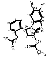 CC(=O)O[C@H]1C[C@@H](c2ccccc2OC(F)F)n2c1nc1cc(F)c(Br)cc12